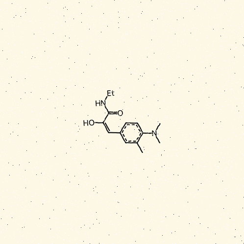 CCNC(=O)/C(O)=C\c1ccc(N(C)C)c(C)c1